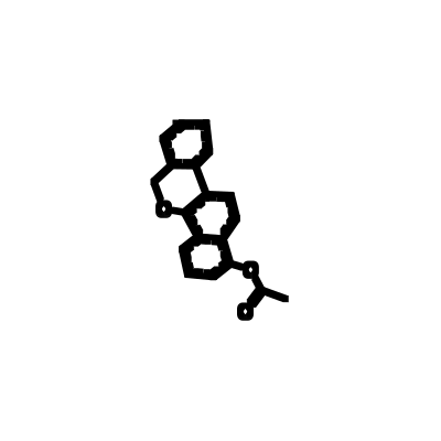 CC(=O)Oc1cccc2c3c(ccc12)-c1cc[c]cc1CO3